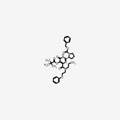 CCCN(CCOc1ccccc1)C(=O)c1nc([C@@H]2CCCN2C(=O)OCc2ccccc2)[nH]c(=O)c1OC(=O)C(C)(C)C